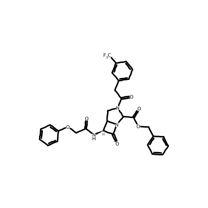 O=C(COc1ccccc1)N[C@@H]1C(=O)N2C1CN(C(=O)Cc1cccc(C(F)(F)F)c1)C2C(=O)OCc1ccccc1